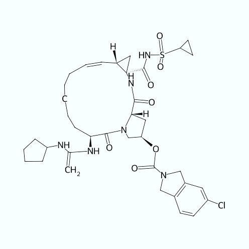 C=C(NC1CCCC1)N[C@H]1CCCCC/C=C\[C@@H]2C[C@@]2(C(=O)NS(=O)(=O)C2CC2)NC(=O)[C@@H]2C[C@@H](OC(=O)N3Cc4ccc(Cl)cc4C3)CN2C1=O